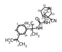 C=C(C)c1cccc(C(C)(C)NC(=O)NC2(C#N)CN3CCC2CC3)c1